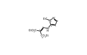 CCOC(=O)C(=CNc1ccnn1CC)C(=O)OCC